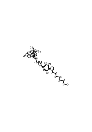 CCCCCCCCOc1ccc(C=NCCC[Si](OCC)(OCC)OCC)cc1